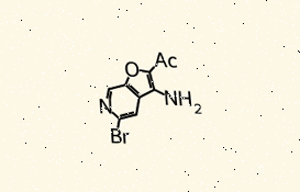 CC(=O)c1oc2cnc(Br)cc2c1N